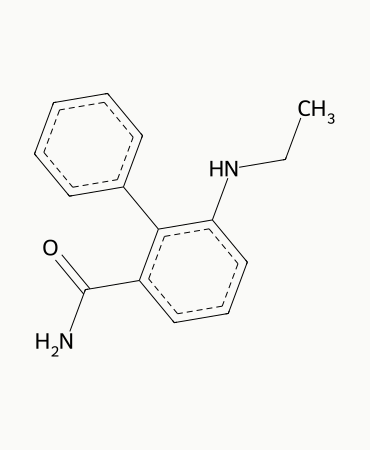 CCNc1cccc(C(N)=O)c1-c1ccccc1